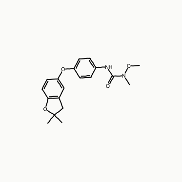 CON(C)C(=O)Nc1ccc(Oc2ccc3c(c2)CC(C)(C)O3)cc1